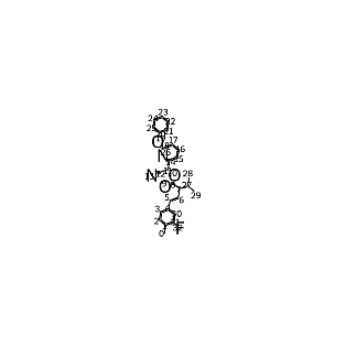 Cc1ccc(C=CC(C(=O)OC(C#N)c2cccc(Oc3ccccc3)n2)C(C)C)cc1F